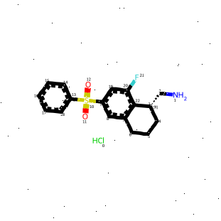 Cl.NC[C@@H]1CCCc2cc(S(=O)(=O)c3ccccc3)cc(F)c21